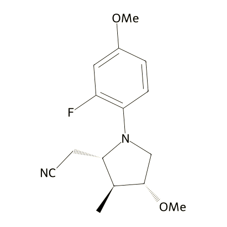 COc1ccc(N2C[C@H](OC)[C@@H](C)[C@@H]2CC#N)c(F)c1